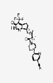 C[C@H](C(=O)N1CCN(c2ccc(C#N)cn2)CC1)N(C)C[C@@H]1CCc2c1n[nH]c(=O)c2C(F)(F)F